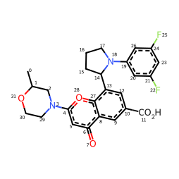 CC1CN(c2cc(=O)c3cc(C(=O)O)cc(C4CCCN4c4cc(F)cc(F)c4)c3o2)CCO1